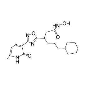 Cc1ccc(-c2noc(C(CCCC3CCCCC3)CC(=O)NO)n2)c(=O)[nH]1